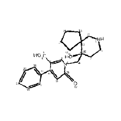 O=C(O)c1cn(C[C@@]2(O)CCNCC23CCCC3)c(=O)cc1-c1ccccc1